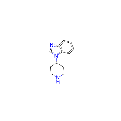 c1ccc2c(c1)ncn2C1CCNCC1